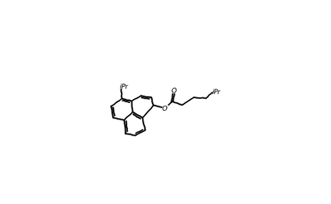 CC(C)CCCC(=O)OC1C=Cc2c(C(C)C)ccc3cccc1c23